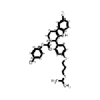 CC(C)SCCCOc1ccc(C2c3[nH]c4ccc(Cl)cc4c3CCN2C(=O)Oc2ccc(Cl)cc2)cc1